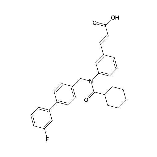 O=C(O)C=Cc1cccc(N(Cc2ccc(-c3cccc(F)c3)cc2)C(=O)C2CCCCC2)c1